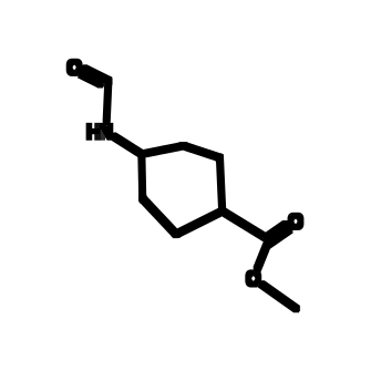 COC(=O)C1CCC(NC=O)CC1